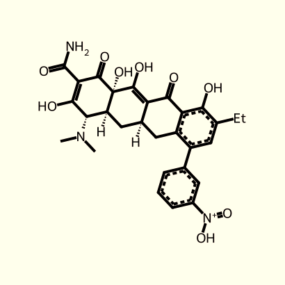 CCc1cc(-c2cccc([N+](=O)O)c2)c2c(c1O)C(=O)C1=C(O)[C@]3(O)C(=O)C(C(N)=O)=C(O)[C@@H](N(C)C)[C@@H]3C[C@@H]1C2